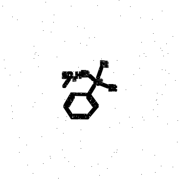 CC[N+](CC)(CC)c1ccccc1.CS(=O)(=O)O